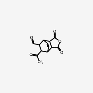 O=CC1C2C=CC(C1C(=O)O)C1C(=O)OC(=O)C21